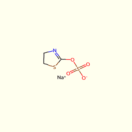 O=S(=O)([O-])OC1=NCCS1.[Na+]